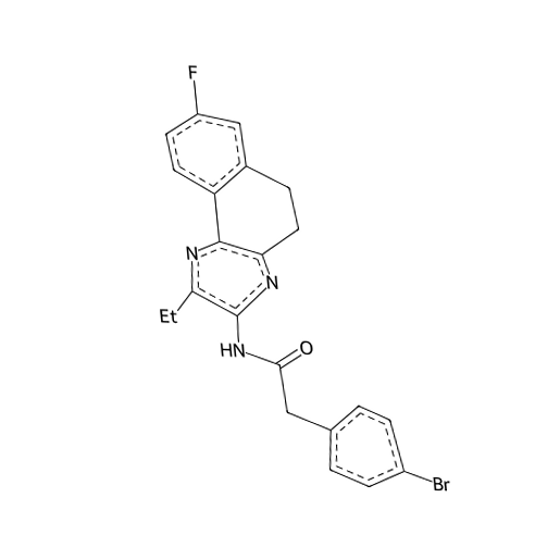 CCc1nc2c(nc1NC(=O)Cc1ccc(Br)cc1)CCc1cc(F)ccc1-2